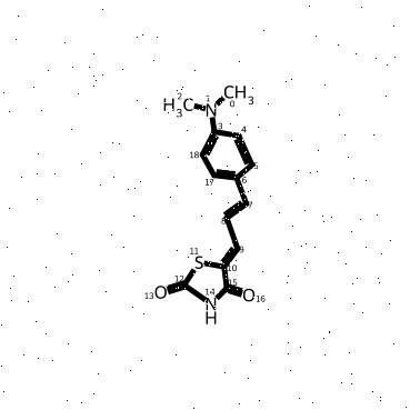 CN(C)c1ccc(/C=C/C=C2\SC(=O)NC2=O)cc1